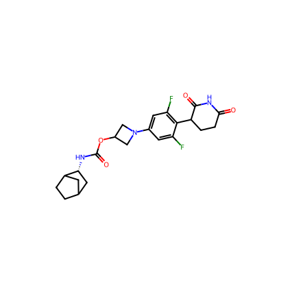 O=C1CCC(c2c(F)cc(N3CC(OC(=O)N[C@@H]4CC5CCC4C5)C3)cc2F)C(=O)N1